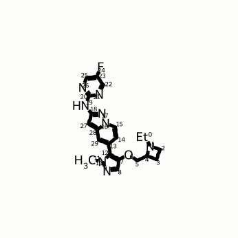 CCN1CCC1COc1cnn(C)c1-c1ccn2nc(Nc3ncc(F)cn3)cc2c1